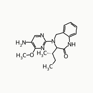 CC[C@H](C)C1C(=O)Nc2ccccc2CN1c1ncc(N)c(OC)n1